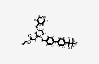 CCOC(=O)C[C@H]1CN(Cc2ccncc2)CCN1Cc1ccc(-c2ccc(C(C)(C)C(F)(F)F)cc2)cc1